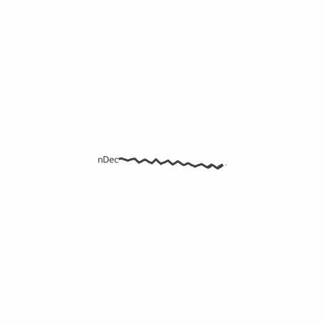 [CH]=CC=CCCCCCCCCCCCCCCCCCCCCCCCCC